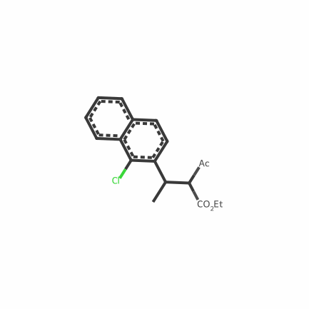 CCOC(=O)C(C(C)=O)C(C)c1ccc2ccccc2c1Cl